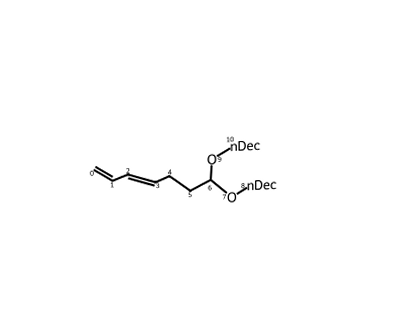 C=C/C=C/CCC(OCCCCCCCCCC)OCCCCCCCCCC